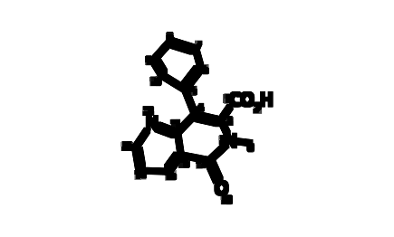 Cn1c(C(=O)O)c(-c2ccccc2)c2ncccc2c1=O